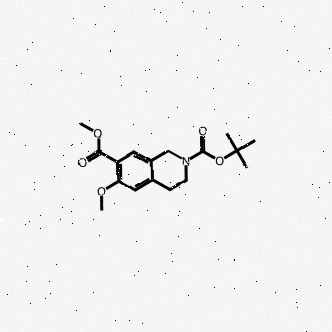 COC(=O)c1cc2c(cc1OC)CCN(C(=O)OC(C)(C)C)C2